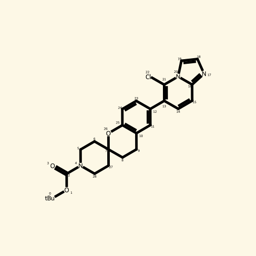 CC(C)(C)OC(=O)N1CCC2(CCc3cc(-c4ccc5nccn5c4Cl)ccc3O2)CC1